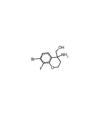 NC1(CO)CCOc2c1ccc(Br)c2F